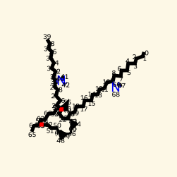 CCCCCCCCCC(CCCCCCCCCCC(C(CCCCCCCCC(CCCCCCCCC)N(C)C)[C@H]1C[C@H]1C[C@H]1C[C@H]1CCCCC)[C@H]1C[C@H]1CCCCCCCC)N(C)C